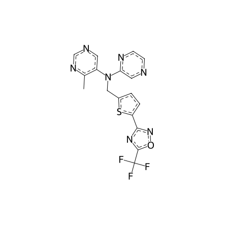 Cc1ncncc1N(Cc1ccc(-c2noc(C(F)(F)F)n2)s1)c1cnccn1